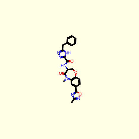 Cc1noc(-c2ccc3c(c2)N(C)C(=O)C(NC(=O)c2nnc(Cc4ccccc4)[nH]2)CO3)n1